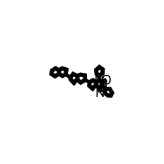 O=c1n(-c2ccccc2)c2cc(-c3ccc4cc(-c5ccc6ccccc6c5)ccc4c3)ccc2c2nc3ccccc3n12